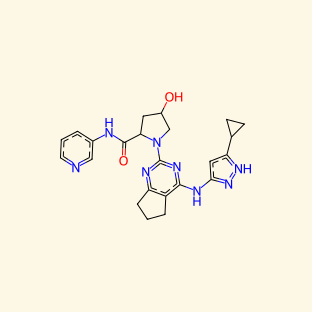 O=C(Nc1cccnc1)C1CC(O)CN1c1nc2c(c(Nc3cc(C4CC4)[nH]n3)n1)CCC2